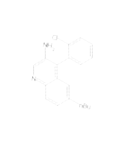 CCCCc1ccc2ncc(N)c(-c3ccccc3Cl)c2c1